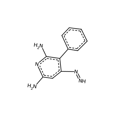 N=Nc1cc(N)nc(N)c1-c1ccccc1